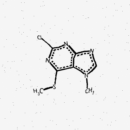 CSc1nc(Cl)nc2ncn(C)c12